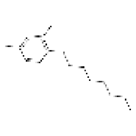 CCCCCCCCc1ccc(C)cc1C